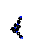 Cc1ccc(N(c2cccc3c2c2ccccc2n3-c2ccc(-c3ccncc3)cc2)c2cccc3c2c2ccccc2n3-c2ccc(-c3ccncc3)cc2)cc1